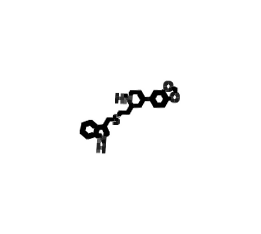 C1=C(c2ccc3c(c2)OCO3)CC(CCSCc2c[nH]c3ccccc23)NC1